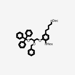 CCCCCCCCCCCCCCc1ccc(CCCCCC)c(OCC(COC(c2ccccc2)(c2ccccc2)c2ccccc2)OCc2ccccc2)c1